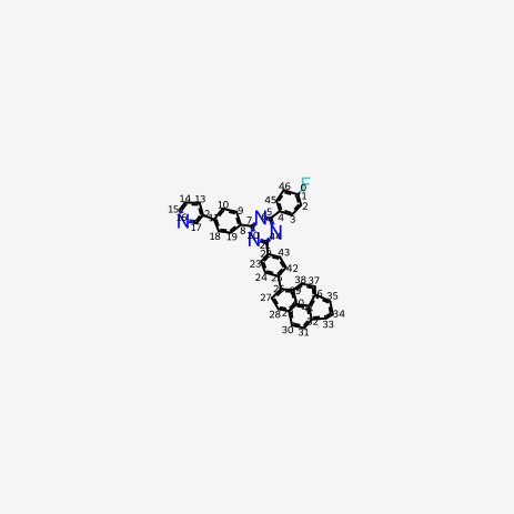 Fc1ccc(-c2nc(-c3ccc(-c4cccnc4)cc3)nc(-c3ccc(-c4ccc5ccc6cccc7ccc4c5c67)cc3)n2)cc1